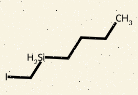 CCCC[SiH2]CI